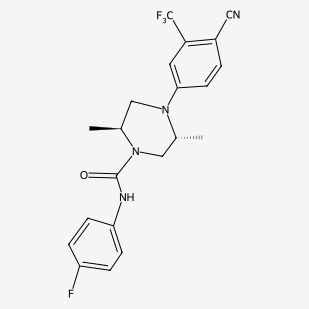 C[C@@H]1CN(C(=O)Nc2ccc(F)cc2)[C@@H](C)CN1c1ccc(C#N)c(C(F)(F)F)c1